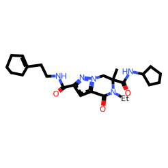 CCN1C(=O)c2cc(C(=O)NCCC3=CCCCC3)nn2CC1(C)C(=O)NC1CCCC1